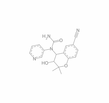 CC1(C)Oc2ccc(C#N)cc2C(N(C(N)=O)c2cccnc2)C1O